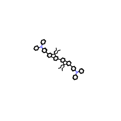 CCCC1(CCC)c2cc(-c3ccc(N(c4ccccc4)c4ccccc4)cc3)ccc2-c2ccc(-c3ccc4c(c3)C(CCC)(CCC)c3cc(-c5ccc(N(c6ccccc6)c6ccccc6)cc5)ccc3-4)cc21